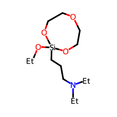 CCO[Si]1(CCCN(CC)CC)OCCOCCO1